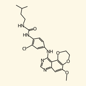 COc1cc2ncnc(Nc3ccc(NC(=O)NCCC(C)C)c(Cl)c3)c2c2c1OCCO2